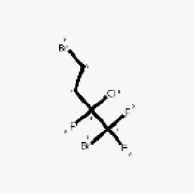 FC(F)(Br)C(F)(Cl)C[CH]Br